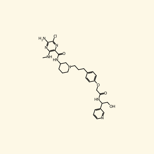 CNc1nc(N)c(Cl)nc1C(=O)NC1CCCN(CCCc2ccc(OCC(=O)NC(CO)c3cccnc3)cc2)C1